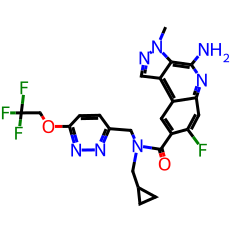 Cn1ncc2c3cc(C(=O)N(Cc4ccc(OCC(F)(F)F)nn4)CC4CC4)c(F)cc3nc(N)c21